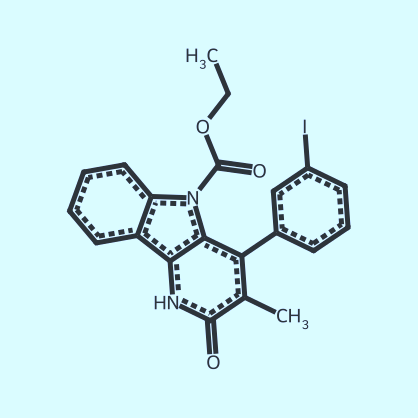 CCOC(=O)n1c2ccccc2c2[nH]c(=O)c(C)c(-c3cccc(I)c3)c21